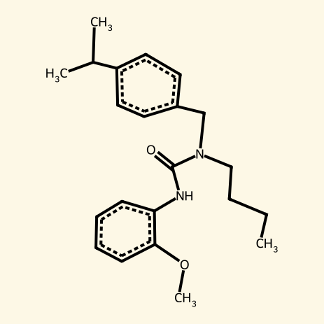 CCCCN(Cc1ccc(C(C)C)cc1)C(=O)Nc1ccccc1OC